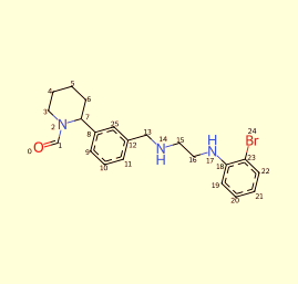 O=CN1CCCCC1c1cccc(CNCCNc2ccccc2Br)c1